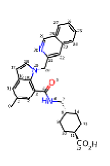 Cc1cc(C(=O)NC[C@H]2CC[C@H](C(=O)O)CC2)c2c(ccn2Cc2cc3ccccc3cn2)c1